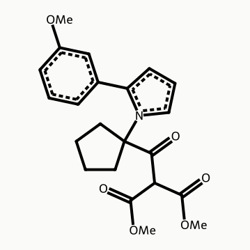 COC(=O)C(C(=O)OC)C(=O)C1(n2cccc2-c2cccc(OC)c2)CCCC1